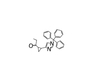 CCC(=O)C1CC1c1cn(C(c2ccccc2)(c2ccccc2)c2ccccc2)cn1